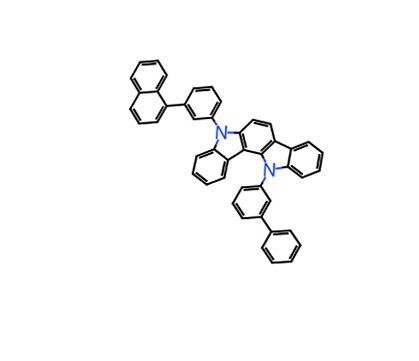 c1ccc(-c2cccc(-n3c4ccccc4c4ccc5c(c6ccccc6n5-c5cccc(-c6cccc7ccccc67)c5)c43)c2)cc1